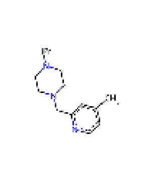 Cc1ccnc(CN2CCN(C(C)C)CC2)c1